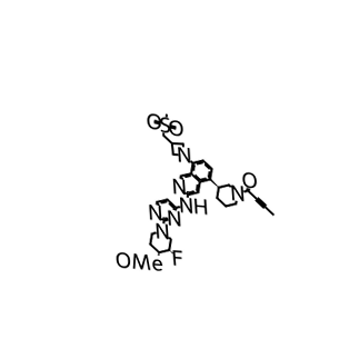 CC#CC(=O)N1CCC[C@@H](c2ccc(N3CC(CS(C)(=O)=O)C3)c3cnc(Nc4ccnc(N5CC[C@@H](OC)[C@@H](F)C5)n4)cc23)C1